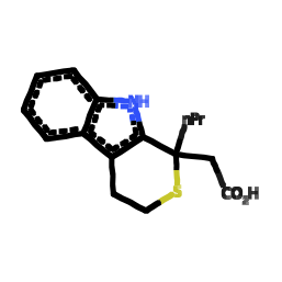 CCCC1(CC(=O)O)SCCc2c1[nH]c1ccccc21